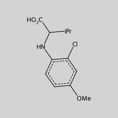 COc1ccc(NC(C(=O)O)C(C)C)c(Cl)c1